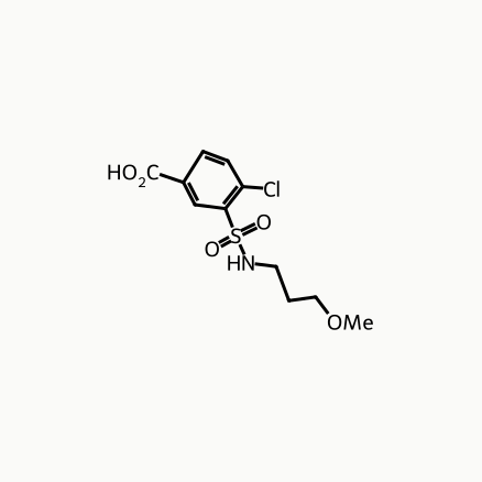 COCCCNS(=O)(=O)c1cc(C(=O)O)ccc1Cl